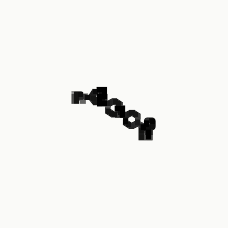 CCC(=O)[C@H]1CC[C@@H](N2CCC(n3cc(C(C)C)cn3)CC2)CC1